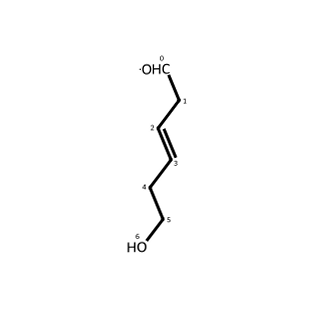 O=[C]CC=CCCO